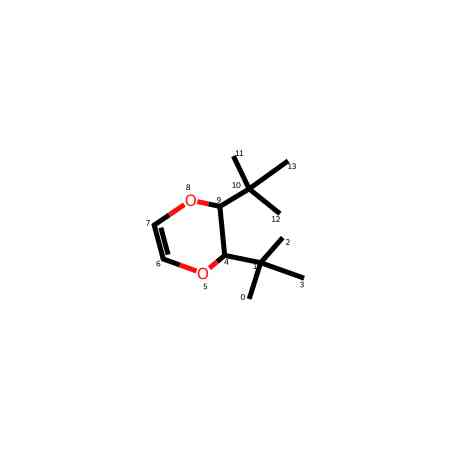 CC(C)(C)C1OC=COC1C(C)(C)C